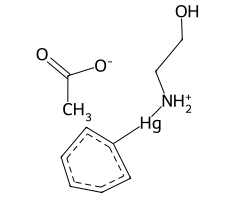 CC(=O)[O-].OCC[NH2+][Hg][c]1ccccc1